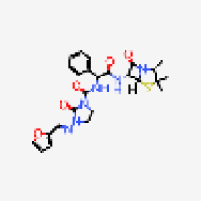 C[C@@H]1N2C(=O)[C@@H](NC(=O)C(NC(=O)N3CCN(N=Cc4ccco4)C3=O)c3ccccc3)[C@H]2SC1(C)C